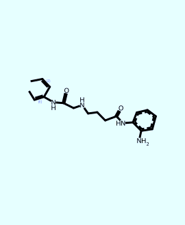 C/C=C\C(=C/C)NC(=O)CNCCCC(=O)Nc1ccccc1N